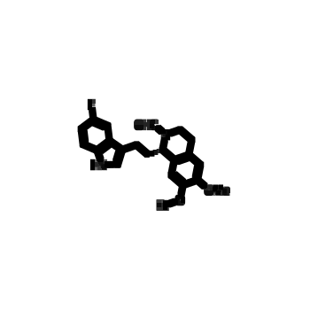 CCOc1cc2c(cc1OC)CCN(C=O)[C@H]2CCc1c[nH]c2ccc(F)cc12